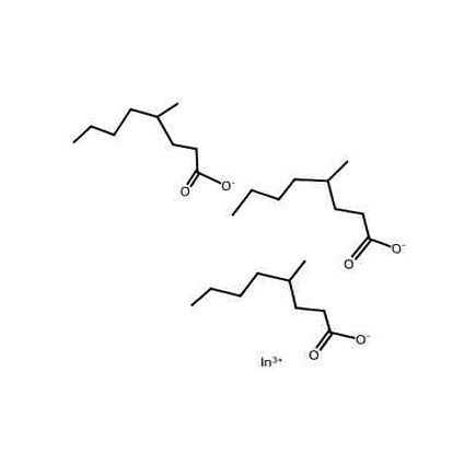 CCCCC(C)CCC(=O)[O-].CCCCC(C)CCC(=O)[O-].CCCCC(C)CCC(=O)[O-].[In+3]